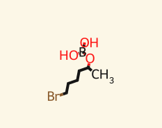 CC(CCCCBr)OB(O)O